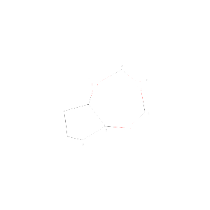 [CH]1CC2OCOCOC2C1